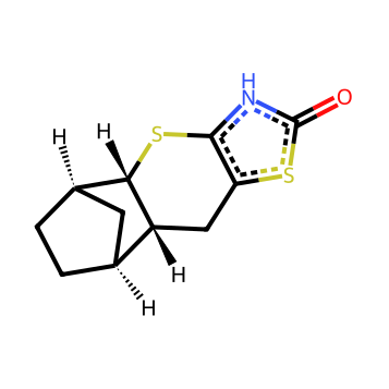 O=c1[nH]c2c(s1)C[C@@H]1[C@H]3CC[C@H](C3)[C@@H]1S2